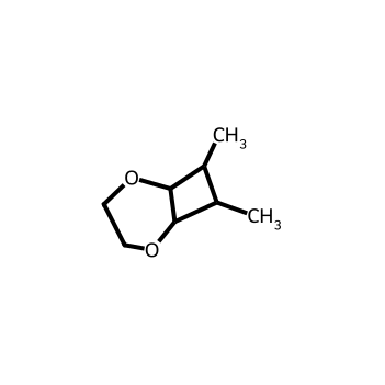 CC1C(C)C2OCCOC12